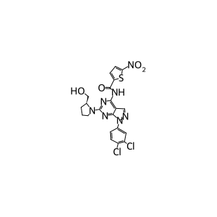 O=C(Nc1nc(N2CCC[C@H]2CO)nc2c1cnn2-c1ccc(Cl)c(Cl)c1)c1ccc([N+](=O)[O-])s1